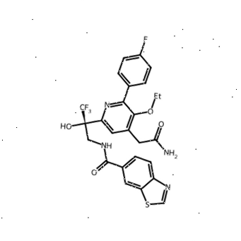 CCOc1c(CC(N)=O)cc([C@@](O)(CNC(=O)c2ccc3ncsc3c2)C(F)(F)F)nc1-c1ccc(F)cc1